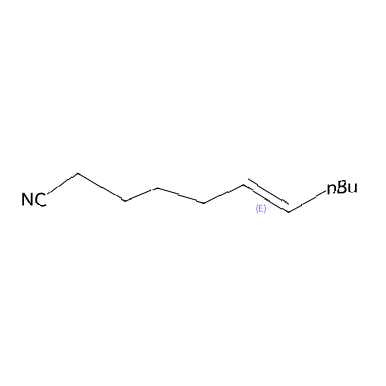 CCCC/C=C/CCCCC#N